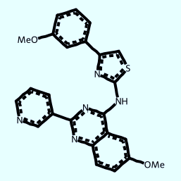 COc1cccc(-c2csc(Nc3nc(-c4cccnc4)nc4ccc(OC)cc34)n2)c1